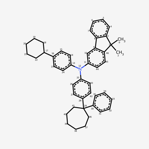 CC1(C)c2ccccc2-c2cc(N(c3ccc(C4CCCCC4)cc3)c3ccc(C4(c5ccccc5)CCCCCC4)cc3)ccc21